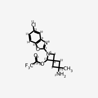 CC1(N)CC2(CN(c3nc4cc(Cl)ccc4o3)C2OC(=O)C(F)(F)F)C1